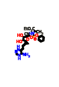 CCOC(=O)[C@H](C)NP(=O)(OC[C@@]1(C#N)OC2(C/C2=C\C=C2/NN=CNC2N)[C@H](O)[C@@H]1O)Oc1ccccc1